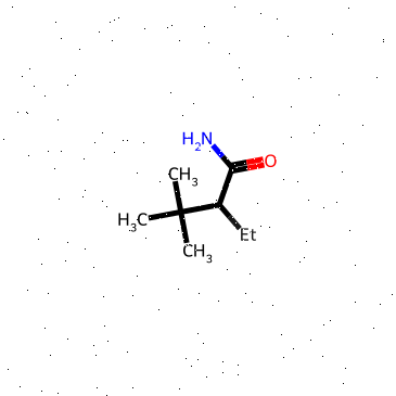 [CH2]CC(C(N)=O)C(C)(C)C